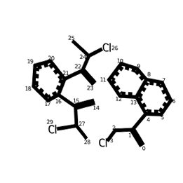 C=C(CCl)c1cccc2ccccc12.C=C(c1ccccc1C(=C)C(C)Cl)C(C)Cl